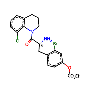 CCOC(=O)Oc1ccc(C[C@@H](N)C(=O)N2CCCc3cccc(Cl)c32)c(Br)c1